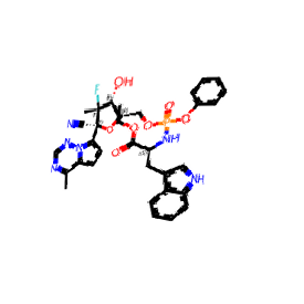 CCOC(=O)[C@H](Cc1c[nH]c2ccccc12)NP(=O)(OC[C@H]1O[C@@](C#N)(c2ccc3c(C)ncnn23)[C@](C)(F)[C@@H]1O)Oc1ccccc1